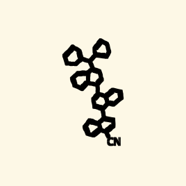 N#Cc1ccc(-c2ccc(-c3ccc(C(C4=CCCC=C4)C4=CC=CCC4)c4ccccc34)c3ccccc23)c2ccccc12